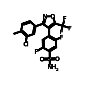 Cc1ccc(-c2noc(C(F)(F)F)c2-c2cc(F)c(S(N)(=O)=O)cc2F)cc1Cl